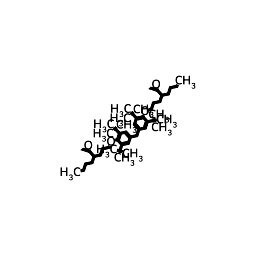 CCCCC(CCCOc1c(C(C)(C)C)cc(Cc2cc(C(C)(C)C)c(OCCCC(CCCC)C3CO3)c(C(C)(C)C)c2)cc1C(C)(C)C)C1CO1